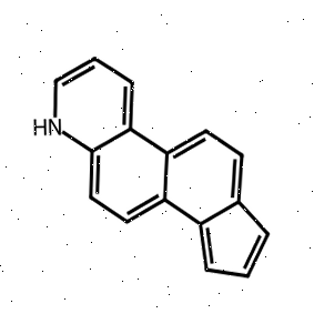 c1cc2ccc3c4ccc[nH]c4ccc3c2c1